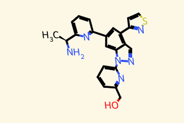 C[C@H](N)c1cccc(-c2cc(-c3ccsn3)c3cnn(-c4cccc(CO)n4)c3c2)n1